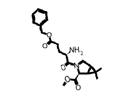 COC(=O)[C@@H]1C2C(CN1C(=O)[C@@H](N)CCC(=O)OCc1ccccc1)C2(C)C